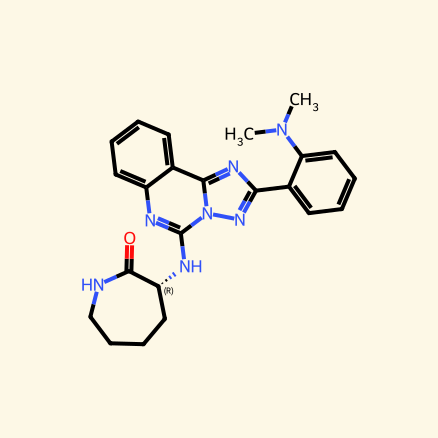 CN(C)c1ccccc1-c1nc2c3ccccc3nc(N[C@@H]3CCCCNC3=O)n2n1